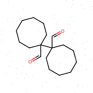 O=CC1(C2(C=O)CCCCCCC2)CCCCCCC1